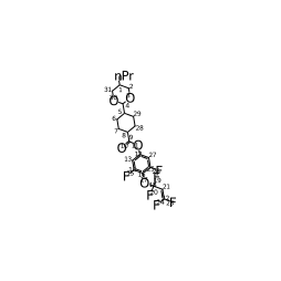 CCCC1COC(C2CCC(C(=O)Oc3cc(F)c(OC(F)(F)C=C(F)F)c(F)c3)CC2)OC1